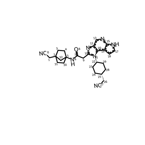 N#CCC12CCC(NC(=O)Cc3nc4cnc5[nH]ccc5c4n3[C@H]3CC[C@@H](CC#N)CC3)(CC1)C2